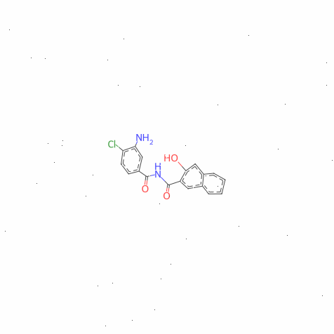 Nc1cc(C(=O)NC(=O)c2cc3ccccc3cc2O)ccc1Cl